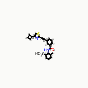 Cc1cccc(C(=O)O)c1NC(=O)c1cccc(C#Cc2nc(C3CCC3)cs2)c1